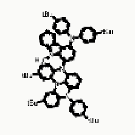 Cn1c2ccccc2c2c(N(c3ccc(C(C)(C)C)cc3)c3ccc(C(C)(C)C)cc3)ccc(N3c4ccc(C(C)(C)C)cc4B4c5cc(C(C)(C)C)ccc5N(c5ccc(C(C)(C)C)cc5)c5cccc3c54)c21